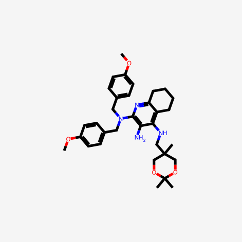 COc1ccc(CN(Cc2ccc(OC)cc2)c2nc3c(c(NCC4(C)COC(C)(C)OC4)c2N)CCCC3)cc1